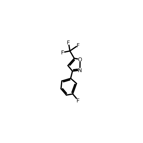 Fc1cccc(-c2cc(C(F)(F)F)on2)c1